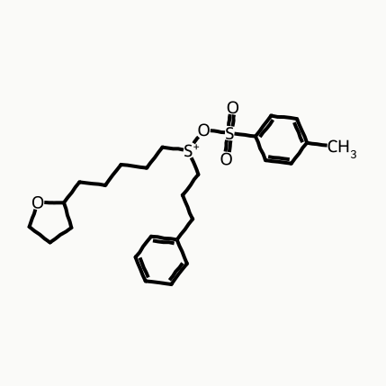 Cc1ccc(S(=O)(=O)O[S+](CCCCCC2CCCO2)CCCc2ccccc2)cc1